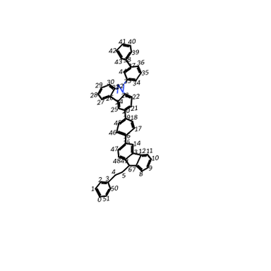 c1ccc(CCC2c3ccccc3-c3cc(-c4ccc(-c5ccc6c(c5)c5ccccc5n6-c5cccc(-c6ccccc6)c5)cc4)ccc32)cc1